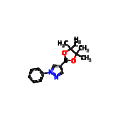 CC1(C)OB(c2cnn(-c3ccccc3)c2)OC1(C)C